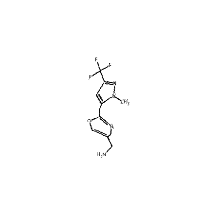 Cn1nc(C(F)(F)F)cc1-c1nc(CN)co1